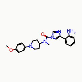 COc1ccc(N2CCC(N(C)C(=O)n3cnc(-c4ccccc4N)c3)CC2)cc1